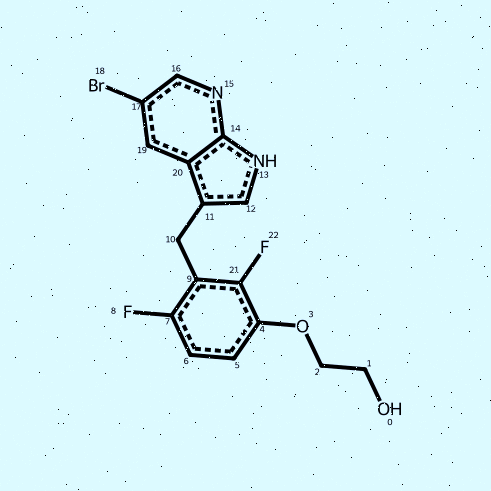 OCCOc1ccc(F)c(Cc2c[nH]c3ncc(Br)cc23)c1F